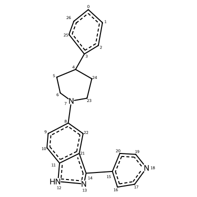 c1ccc(C2CCN(c3ccc4[nH]nc(-c5ccncc5)c4c3)CC2)cc1